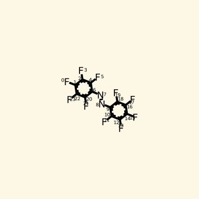 Fc1c(F)c(F)c(N=Nc2c(F)c(F)c(F)c(F)c2F)c(F)c1F